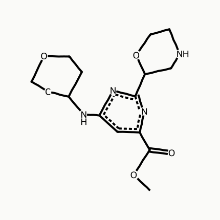 COC(=O)c1cc(NC2CCOCC2)nc(C2CNCCO2)n1